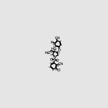 N#Cc1ccc(O[C@H]2CN(S(=O)(=O)c3cccc(Cl)c3C#N)C[C@@]2(O)CO)cc1F